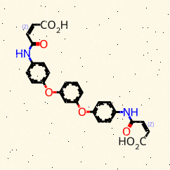 O=C(O)/C=C\C(=O)Nc1ccc(Oc2cccc(Oc3ccc(NC(=O)/C=C\C(=O)O)cc3)c2)cc1